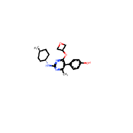 Cc1nc(N[C@H]2CC[C@H](C)CC2)nc(OC2COC2)c1-c1ccc(O)cc1